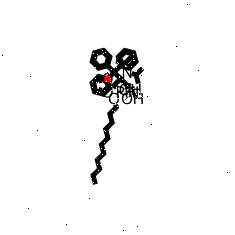 CCCCCCCCCCCO[PH](O)(O)C(OC)(OC)C(C#N)(N(C(C)C)C(C)C)C(c1ccccc1)(c1ccccc1)c1ccccc1